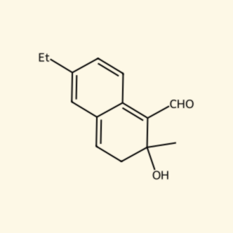 CCc1ccc2c(c1)=CCC(C)(O)C=2C=O